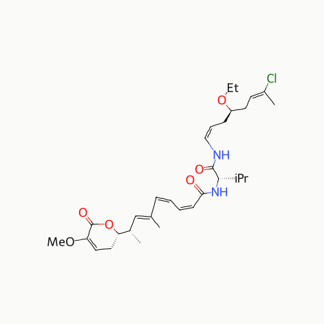 CCO[C@H](C/C=C\NC(=O)[C@@H](NC(=O)\C=C/C=C\C(C)=C\[C@H](C)[C@@H]1CC=C(OC)C(=O)O1)C(C)C)C/C=C(\C)Cl